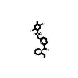 CCC1CCCCN1C(=O)c1cccc(CS(=O)(=O)c2cc(Cl)c(C)cc2Cl)n1